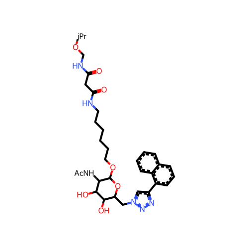 CC(=O)NC1C(OCCCCCCNC(=O)CC(=O)NCOC(C)C)OC(Cn2cc(-c3cccc4ccccc34)nn2)C(O)C1O